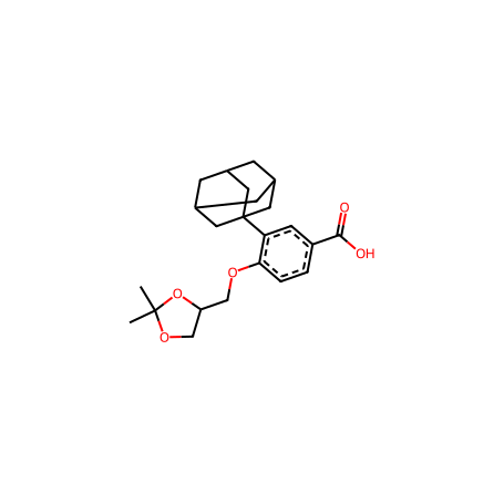 CC1(C)OCC(COc2ccc(C(=O)O)cc2C23CC4CC(CC(C4)C2)C3)O1